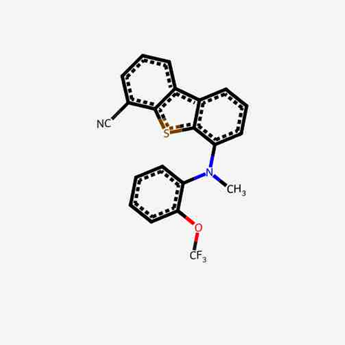 CN(c1ccccc1OC(F)(F)F)c1cccc2c1sc1c(C#N)cccc12